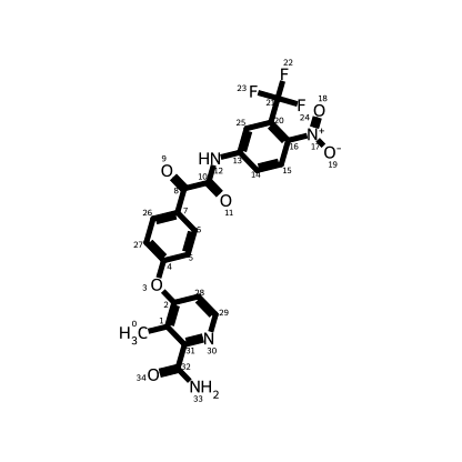 Cc1c(Oc2ccc(C(=O)C(=O)Nc3ccc([N+](=O)[O-])c(C(F)(F)F)c3)cc2)ccnc1C(N)=O